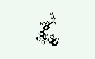 CNC(=O)c1n[nH]c2cc(-c3cnc(OC)c(C(=O)NCc4cccnc4OC)c3)ccc12